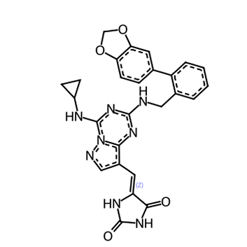 O=C1NC(=O)/C(=C/c2cnn3c(NC4CC4)nc(NCc4ccccc4-c4ccc5c(c4)OCO5)nc23)N1